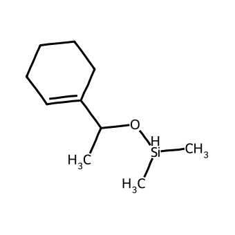 CC(O[SiH](C)C)C1=CCCCC1